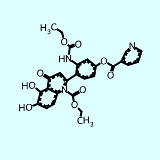 CCOC(=O)Nc1cc(OC(=O)c2cccnc2)ccc1-c1cc(=O)c2c(O)c(O)ccc2n1C(=O)OCC